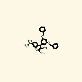 CN(C)c1ccc2c(c1)OC(N)=C(C#N)C2c1cc(OCc2ccccc2)cc(OCc2ccccc2)c1